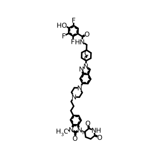 Cn1c(=O)n([C@@H]2CCC(=O)NC2=O)c2ccc(CCCN3CCN(c4ccc5cn(C67CCC(CNC(=O)c8cc(F)c(O)c(F)c8F)(CC6)CC7)nc5c4)CC3)cc21